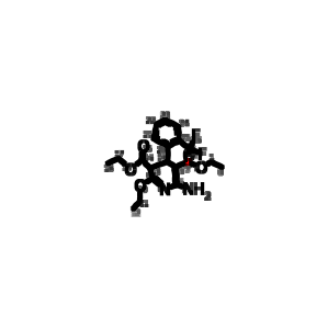 CCOC(=O)C1=C(N)N=C(OCC)C(C(=O)OCC)C1c1ccccc1C(F)(F)F